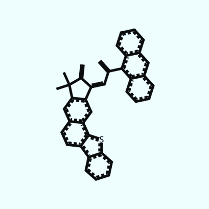 C=C(/C=C1\C(=C)C(C)(C)c2cc3ccc4c5ccccc5sc4c3cc21)c1c2ccccc2cc2ccccc12